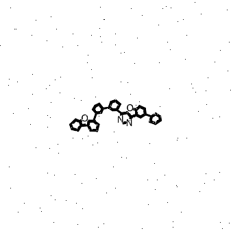 c1ccc(-c2ccc3oc4c(-c5cccc(-c6cccc(-c7cccc8c7oc7ccccc78)c6)c5)ncnc4c3c2)cc1